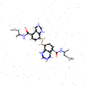 COCC(C)NC(=O)c1ccc(SSc2ccc(C(=O)NC(C)COC)c3cncnc23)c2ncncc12